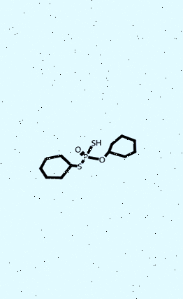 O=P(S)(OC1CCCCC1)SC1CCCCC1